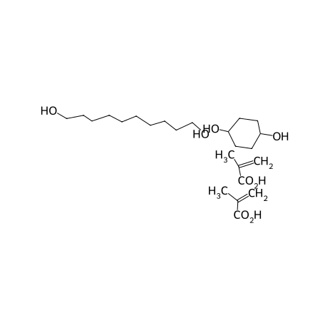 C=C(C)C(=O)O.C=C(C)C(=O)O.OC1CCC(O)CC1.OCCCCCCCCCCO